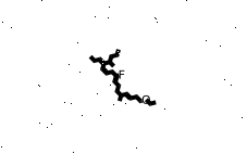 CC/C=C(\C=C/C/C(F)=C/CCC(C)/C=C/CCOCC)C(C)CCC